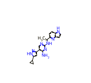 C[C@H](Nc1ncc(-c2cc(C3CC3)[nH]n2)c(N)n1)c1ccc2[nH]ccc2n1